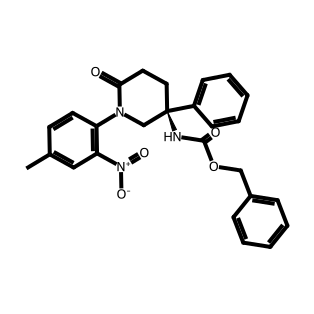 Cc1ccc(N2C[C@@](NC(=O)OCc3ccccc3)(c3ccccc3)CCC2=O)c([N+](=O)[O-])c1